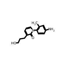 Cc1cc(N)ccc1-n1cccc(CCCO)c1=O